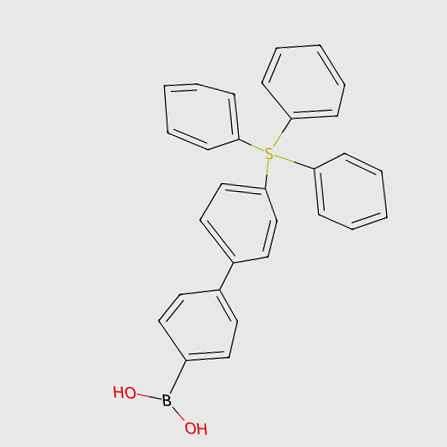 OB(O)c1ccc(-c2ccc(S(c3ccccc3)(c3ccccc3)c3ccccc3)cc2)cc1